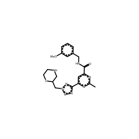 COc1cccc(CNC(=O)c2cc(-c3nnn(CC4CNCCO4)n3)nc(C)n2)c1